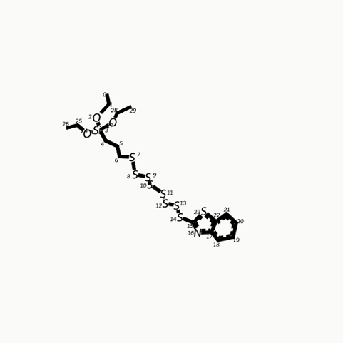 CCO[Si](CCCSSSSSSSSc1nc2ccccc2s1)(OCC)OCC